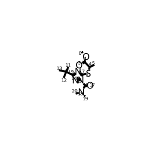 COC(=O)C(C)Sc1nc(C(C)(C)C)nn1C(=O)N(C)C